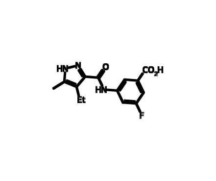 CCc1c(C(=O)Nc2cc(F)cc(C(=O)O)c2)n[nH]c1C